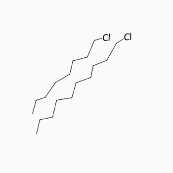 CCCCCCCCCCCl.CCCCCCCCCl